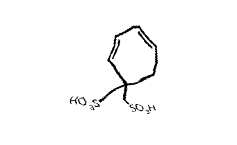 O=S(=O)(O)C1(S(=O)(=O)O)C=CC=CC1